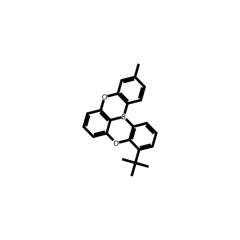 Cc1ccc2c(c1)Oc1cccc3c1B2c1cccc(C(C)(C)C)c1O3